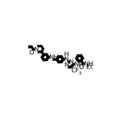 C=CC(=O)N1CCCC(c2cccc(NCc3ccc(Nc4ncc(C(F)(F)F)c(Nc5ccccc5C(=O)NCC)n4)cc3)c2)C1